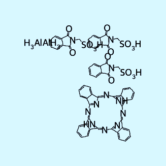 O=C1c2ccccc2C(=O)N1CS(=O)(=O)O.O=C1c2ccccc2C(=O)N1CS(=O)(=O)O.O=C1c2ccccc2C(=O)N1CS(=O)(=O)O.[AlH3].[AlH3].c1ccc2c(c1)-c1nc-2nc2[nH]c(nc3nc(nc4[nH]c(n1)c1ccccc41)-c1ccccc1-3)c1ccccc21